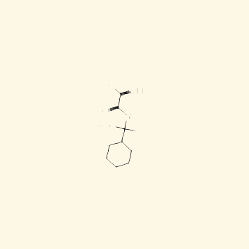 C=C(C)C(=O)NC(C)(C)C1CCCCC1